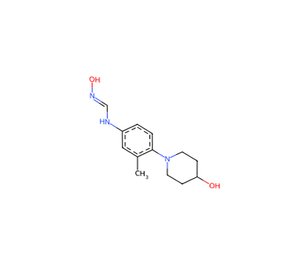 Cc1cc(N/C=N/O)ccc1N1CCC(O)CC1